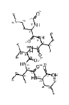 CCC(C)C(NC(=O)C(CCSC)NC=O)C(=O)NC(C(=O)NC(C(=O)NC(CC(C)C)C(=O)O)C(C)CC)C(C)C